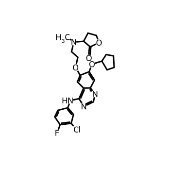 CN(CCOc1cc2c(Nc3ccc(F)c(Cl)c3)ncnc2cc1OC1CCCC1)C1CCOC1=O